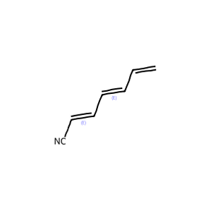 C=C/C=C/C=C/C#N